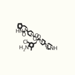 Cc1cc(C[C@@H](OC(=O)N2CCC(N3CCc4ccccc4NC3=O)CC2)C(=O)N2CCC(N3CCNCC3)CC2)cc(Cl)c1N